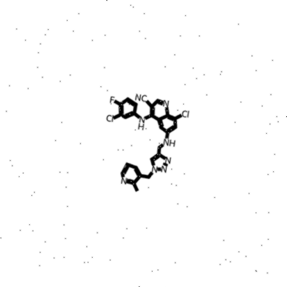 Cc1ncccc1Cn1cc(CNc2cc(Cl)c3ncc(C#N)c(Nc4ccc(F)c(Cl)c4)c3c2)nn1